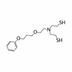 SCCN(CCS)CCOCCCOc1ccccc1